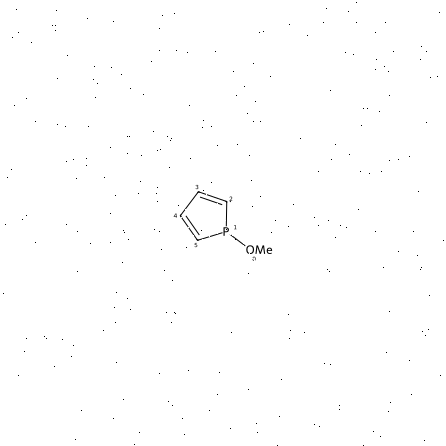 COp1[c]ccc1